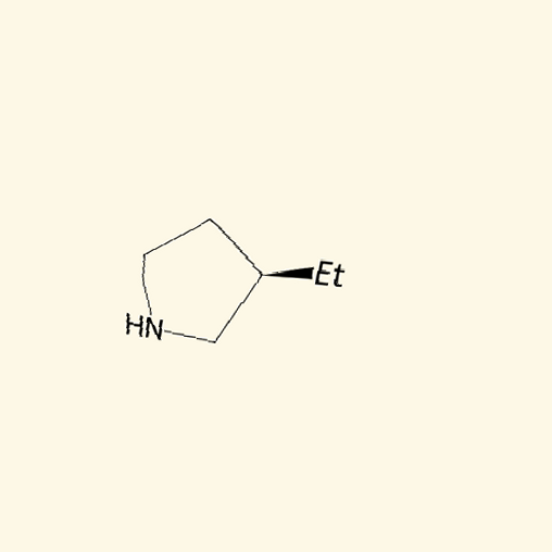 [CH2]C[C@@H]1CCNC1